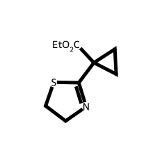 CCOC(=O)C1(C2=NCCS2)CC1